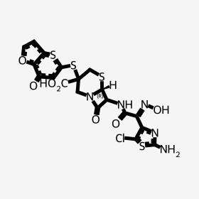 Nc1nc(C(=NO)C(=O)NC2C(=O)N3CC(Sc4cc(=O)c5occc5s4)(C(=O)O)CS[C@H]23)c(Cl)s1